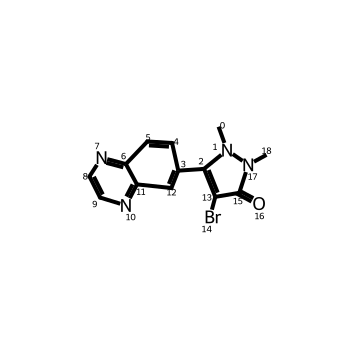 Cn1c(-c2ccc3nccnc3c2)c(Br)c(=O)n1C